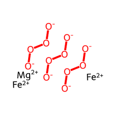 [Fe+2].[Fe+2].[Mg+2].[O-]OO[O-].[O-]OO[O-].[O-]OO[O-]